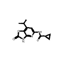 CC(C)c1cc(NC(=O)C2CC2)nc2[nH]c(=O)oc12